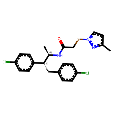 Cc1ccn(SCC(=O)N[C@H](C)[C@H](Cc2ccc(Cl)cc2)c2ccc(Cl)cc2)n1